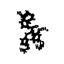 CCn1cc(CN(C(=O)C2CCc3c(O)cccc32)c2ccc(OC)cc2OC)cn1